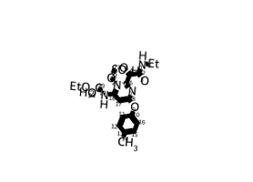 CCNC(=O)C(=O)c1nc(Oc2ccc(C)cc2)cc(NC(=O)OCC)[n+]1OS(=O)(=O)O.[OH-]